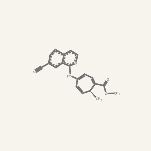 COC(=O)C1=CC=C(Nc2nccc3ccc(C#N)cc23)C=C[C@@H]1C